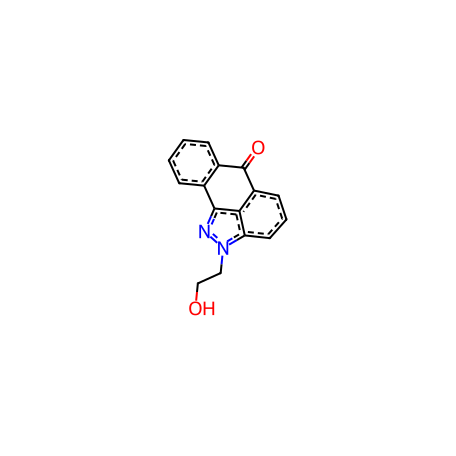 O=C1c2ccccc2-c2nn(CCO)c3cccc1c23